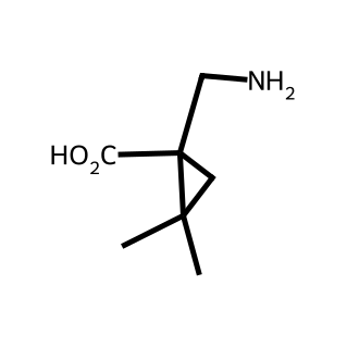 CC1(C)CC1(CN)C(=O)O